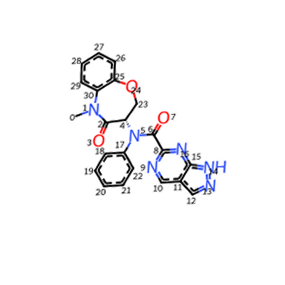 CN1C(=O)[C@@H](N(C(=O)c2ncc3cn[nH]c3n2)c2ccccc2)COc2ccccc21